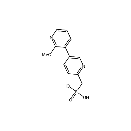 COc1ncccc1-c1ccc(CP(=O)(O)O)nc1